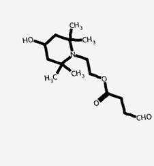 CC1(C)CC(O)CC(C)(C)N1CCOC(=O)CCC=O